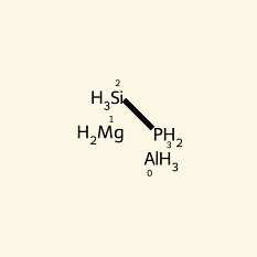 [AlH3].[MgH2].[SiH3]P